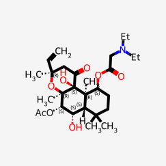 C=C[C@@]1(C)CC(=O)[C@]2(O)[C@@]3(C)[C@@H](OC(=O)CN(CC)CC)CCC(C)(C)[C@@H]3[C@H](O)[C@H](OC(C)=O)[C@@]2(C)O1